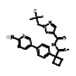 CC(C)(O)Cn1cc(C(=O)NC(=N)C2(c3ccc(-c4cnc(N)nc4)cc3)CCC2)cn1